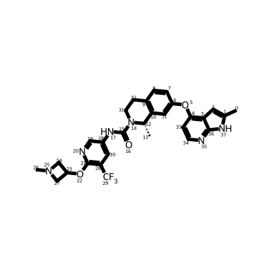 Cc1cc2c(Oc3ccc4c(c3)[C@H](C)N(C(=O)Nc3cnc(OC5CN(C)C5)c(C(F)(F)F)c3)CC4)ccnc2[nH]1